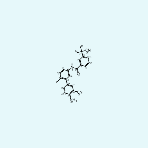 Cc1ncc(NC(=O)c2ccnc(C(C)(C)C#N)c2)cc1-c1cnc(N)c(C#N)c1